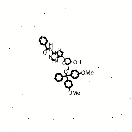 COc1ccc(C(OC[C@H]2O[C@@H](c3cnn4c(NC(=O)c5ccccc5)ncnc34)C[C@@H]2O)(c2ccccc2)c2ccc(OC)cc2)cc1